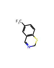 FC(F)(F)c1ccc2c(c1)C=NCS2